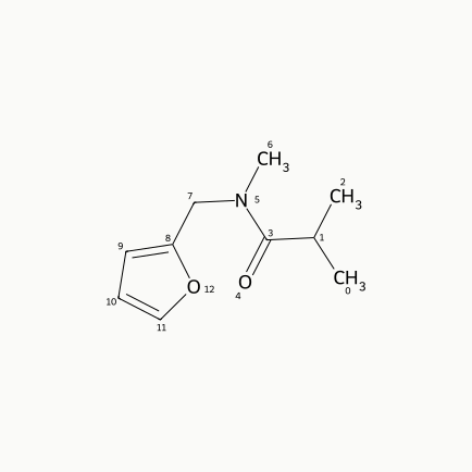 CC(C)C(=O)N(C)Cc1ccco1